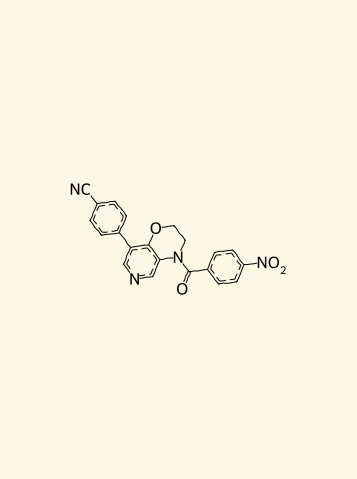 N#Cc1ccc(-c2cncc3c2OCCN3C(=O)c2ccc([N+](=O)[O-])cc2)cc1